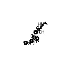 CN(C(=O)C=CCNC1CC1)c1cccc(-n2c(=O)n(-c3ccc(Oc4ccccc4)cc3)c3c(N)ncnc32)c1